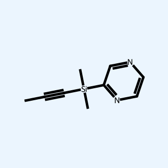 CC#C[Si](C)(C)c1cnccn1